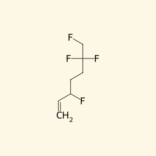 C=CC(F)CCC(F)(F)CF